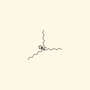 CCCCCCC[N+]([O-])(CCCCCCC)CCCCCCC